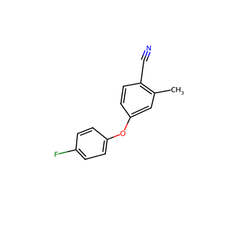 Cc1cc(Oc2ccc(F)cc2)ccc1C#N